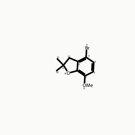 COc1ccc(Br)c2c1OC(C)(C)C2